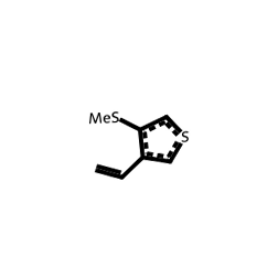 C=Cc1cscc1SC